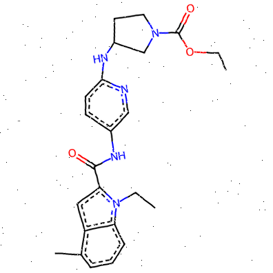 CCOC(=O)N1CCC(Nc2ccc(NC(=O)c3cc4c(C)cccc4n3CC)cn2)C1